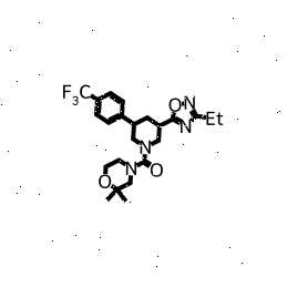 CCc1noc(C2CC(c3ccc(C(F)(F)F)cc3)CN(C(=O)N3CCOC(C)(C)C3)C2)n1